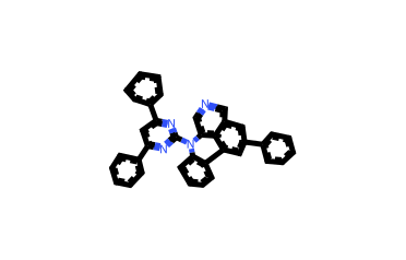 c1ccc(-c2cc3c4c(cncc4c2)N(c2nc(-c4ccccc4)cc(-c4ccccc4)n2)c2ccccc2-3)cc1